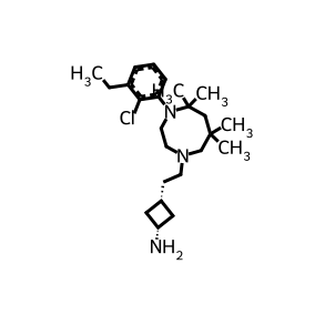 CCc1cccc(N2CCN(CC[C@H]3C[C@@H](N)C3)CC(C)(C)CC2(C)C)c1Cl